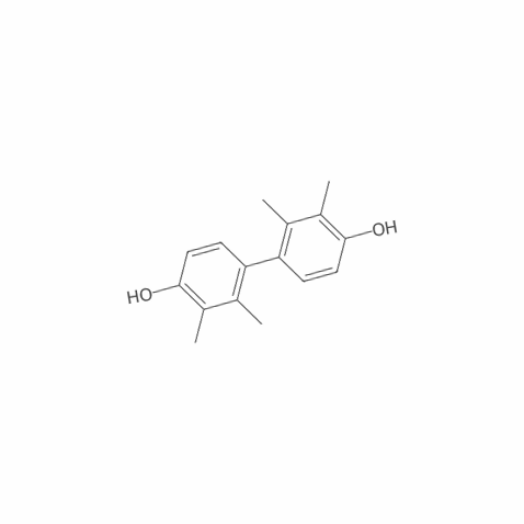 Cc1c(O)ccc(-c2ccc(O)c(C)c2C)c1C